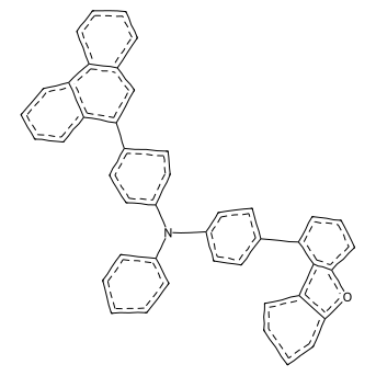 c1ccc(N(c2ccc(-c3cc4ccccc4c4ccccc34)cc2)c2ccc(-c3cccc4oc5ccccc5c34)cc2)cc1